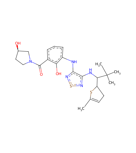 CC1=CCC(C(Nc2nsnc2Nc2cccc(C(=O)N3CC[C@@H](O)C3)c2O)C(C)(C)C)S1